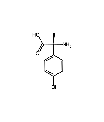 C[C@](N)(C(=O)O)c1ccc(O)cc1